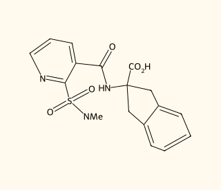 CNS(=O)(=O)c1ncccc1C(=O)NC1(C(=O)O)Cc2ccccc2C1